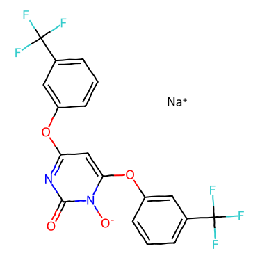 O=c1nc(Oc2cccc(C(F)(F)F)c2)cc(Oc2cccc(C(F)(F)F)c2)n1[O-].[Na+]